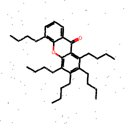 CCCCc1c(CCCC)c(CCCC)c2c(=O)c3cccc(CCCC)c3oc2c1CCCC